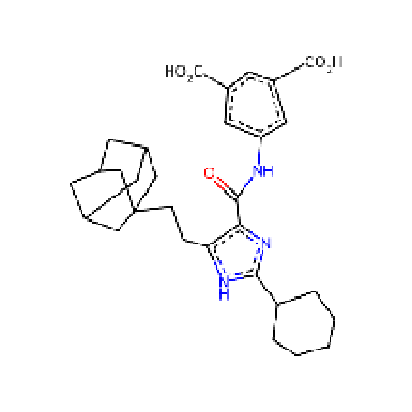 O=C(O)c1cc(NC(=O)c2nc(C3CCCCC3)[nH]c2CCC23CC4CC(CC(C4)C2)C3)cc(C(=O)O)c1